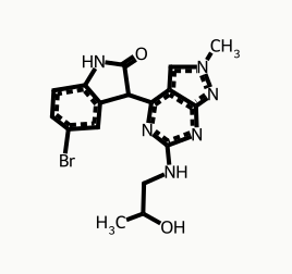 CC(O)CNc1nc(C2C(=O)Nc3ccc(Br)cc32)c2cn(C)nc2n1